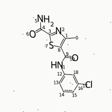 Cc1nc(C(N)=O)sc1C(=O)Nc1cccc(Cl)c1